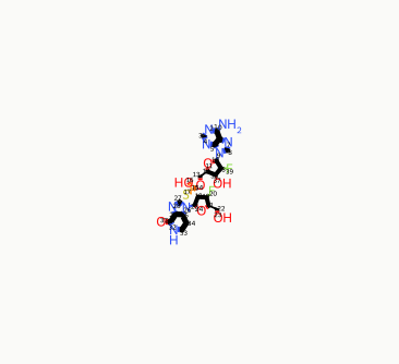 Nc1ncnc2c1ncn2[C@@H]1O[C@H](COP(O)(=S)[C@@H]2[C@@H](F)[C@@H](CO)O[C@H]2n2cnc3c(=O)[nH]ccc32)[C@@H](O)[C@@H]1F